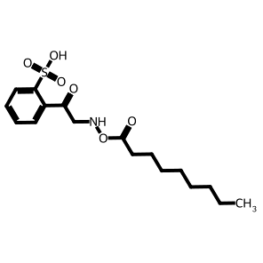 CCCCCCCCC(=O)ONCC(=O)c1ccccc1S(=O)(=O)O